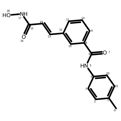 Cc1ccc(NC(=O)c2cccc(C=CC(=O)NO)c2)cc1